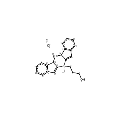 CC1(CCCO)C2=Cc3ccccc3[CH]2[Zr+2][CH]2C1=Cc1ccccc12.[Cl-].[Cl-]